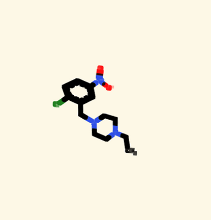 CCN1CCN(Cc2cc([N+](=O)[O-])ccc2Cl)CC1